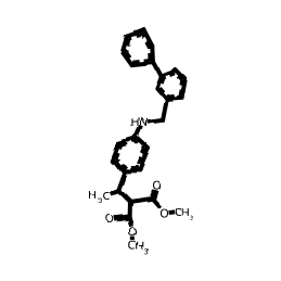 COC(=O)C(C(=O)OC)C(C)c1ccc(NCc2cccc(-c3ccccc3)c2)cc1